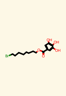 O=C(OCCCCCCCCBr)c1cc(O)c(O)c(O)c1